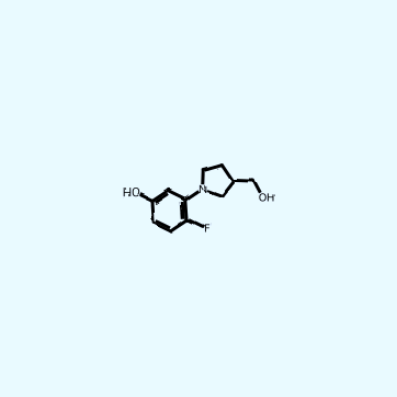 OCC1CCN(c2cc(O)ccc2F)C1